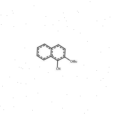 CC(C)COc1ccc2ccccc2c1C#N